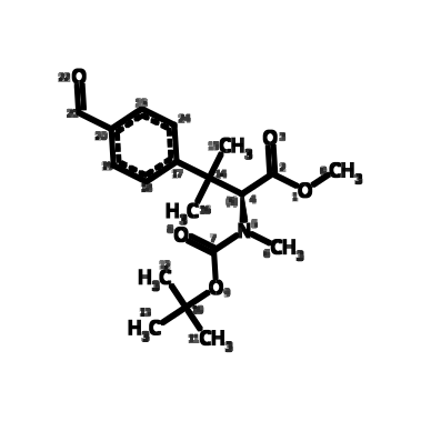 COC(=O)[C@@H](N(C)C(=O)OC(C)(C)C)C(C)(C)c1ccc(C=O)cc1